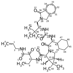 C=CCNC(=O)C(=O)C(CC)NC(=O)[C@@H]1[C@@H]2[C@H](CN1C(=O)[C@@H](NC(=O)N[C@H](CN1Cc3ccccc3C1=O)C(C)(C)C)C1CCCCC1)C2(C)C